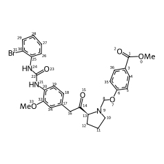 COC(=O)c1ccc(OCN2CCC[C@H]2C(=O)Cc2ccc(NC(=O)Nc3ccccc3Br)c(OC)c2)cc1